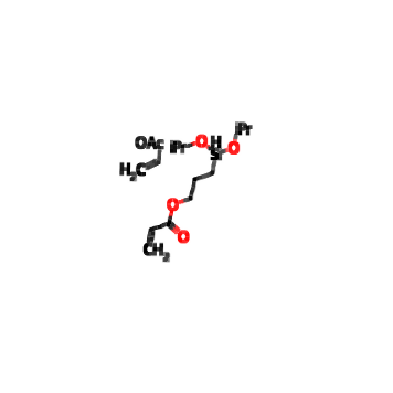 C=CC(=O)OCCC[SiH](OC(C)C)OC(C)C.C=COC(C)=O